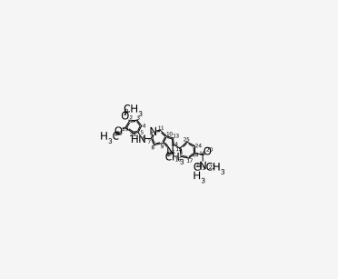 COc1ccc(Nc2cc3c(cn2)cc(-c2ccc(C(=O)N(C)C)cc2)n3C)cc1OC